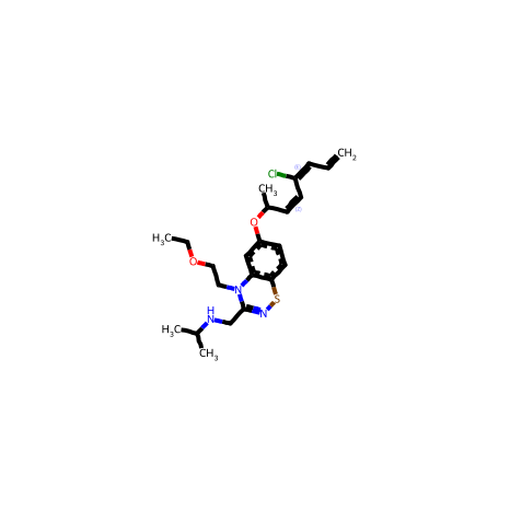 C=C/C=C(Cl)\C=C/C(C)Oc1ccc2c(c1)N(CCOCC)C(CNC(C)C)=NS2